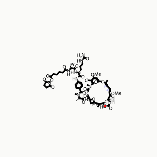 COc1cc2cc(c1Cl)N(C)C(=O)C[C@H](OC(=O)[C@H](C)N(C)C(=O)c1ccc(NC(=O)[C@H](CCCNC(N)=O)NC(=O)[C@@H](NC(=O)CCCCC(=O)ON3C(=O)CCC3=O)C(C)C)cc1)[C@@]1(C)C[C@@H](O1)[C@H](C)[C@@H]1C[C@@](O)(NC(=O)O1)[C@H](OC)/C=C/C=C(\C)C2